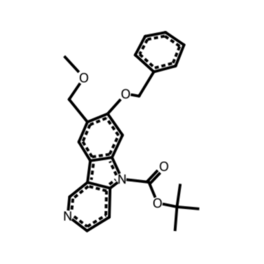 COCc1cc2c3cnccc3n(C(=O)OC(C)(C)C)c2cc1OCc1ccccc1